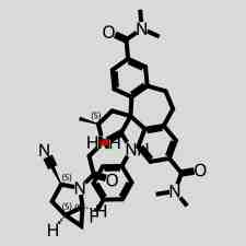 C[C@@H](CC1(C(=N)Nc2ccc(F)cc2)c2ccc(C(=O)N(C)C)cc2CCc2cc(C(=O)N(C)C)ccc21)NCC(=O)N1[C@H](C#N)C[C@@H]2C[C@@H]21